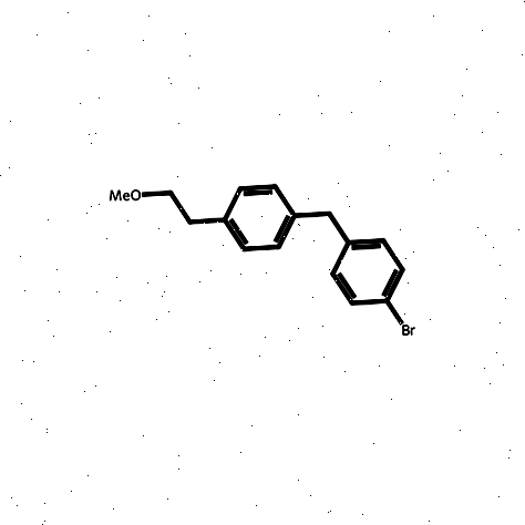 COCCc1ccc(Cc2ccc(Br)cc2)cc1